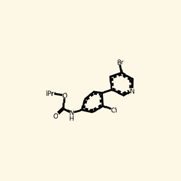 CC(C)OC(=O)Nc1ccc(-c2cncc(Br)c2)c(Cl)c1